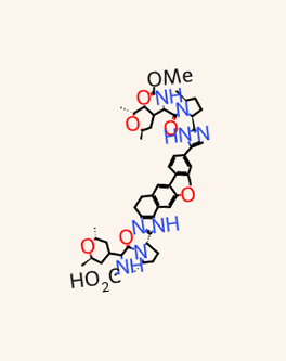 COC(=O)N[C@H](C(=O)N1[C@@H](C)CC[C@H]1c1ncc(-c2ccc3c(c2)COc2cc4c(cc2-3)CCc2nc([C@@H]3CC[C@H](C)N3C(=O)[C@@H](NC(=O)O)C3C[C@@H](C)O[C@H](C)C3)[nH]c2-4)[nH]1)C1C[C@@H](C)O[C@H](C)C1